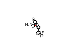 COC1CCC2(CC1)Cc1ccc(-c3cncc(C(F)(F)F)c3)cc1[C@@]21N=C(C)C(N)=N1